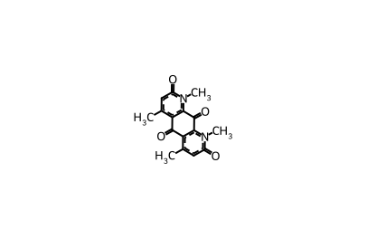 Cc1cc(=O)n(C)c2c1C(=O)c1c(C)cc(=O)n(C)c1C2=O